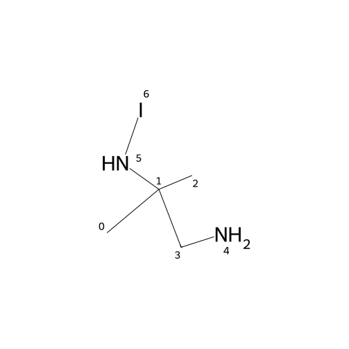 CC(C)(CN)NI